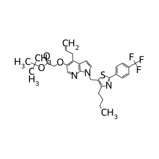 C=CCc1c(OCC(=O)OC(C)(C)C)cnc2c1ccn2Cc1sc(-c2ccc(C(F)(F)F)cc2)nc1CCCC